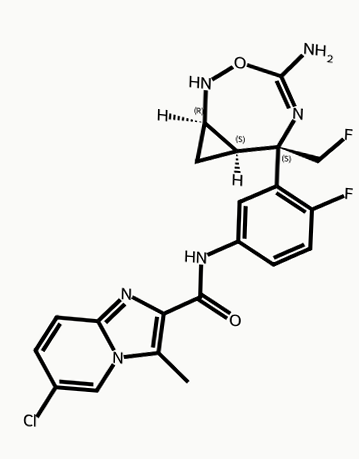 Cc1c(C(=O)Nc2ccc(F)c([C@@]3(CF)N=C(N)ON[C@@H]4C[C@@H]43)c2)nc2ccc(Cl)cn12